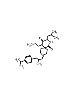 CCCN1C(=O)C(CC(C)C)NC(=O)C12CCN(CC(C)Cc1ccc(C(C)C)cc1)CC2